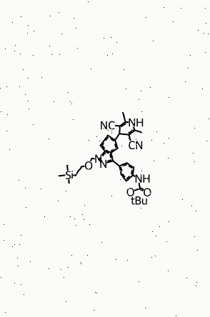 CC1=C(C#N)C(c2ccc3c(c2)c(-c2ccc(NC(=O)OC(C)(C)C)cc2)nn3COCC[Si](C)(C)C)C(C#N)=C(C)N1